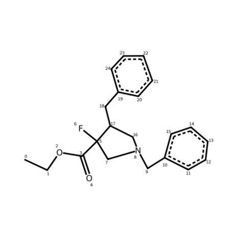 CCOC(=O)C1(F)CN(Cc2ccccc2)CC1Cc1ccccc1